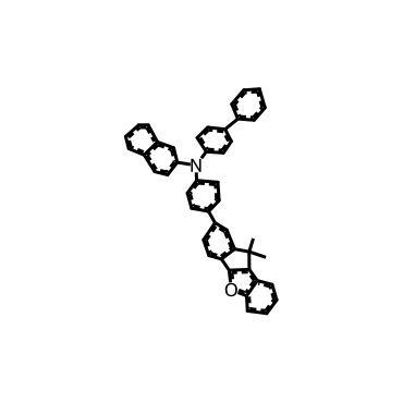 CC1(C)c2cc(-c3ccc(N(c4ccc(-c5ccccc5)cc4)c4ccc5ccccc5c4)cc3)ccc2-c2oc3ccccc3c21